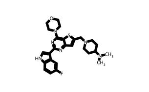 CN(C)C1CCN(Cc2cc3nc(-c4c[nH]c5ccc(F)cc45)nc(N4CCOCC4)c3s2)CC1